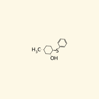 C[C@@H]1CC[C@@H](Sc2ccccc2)[C@H](O)C1